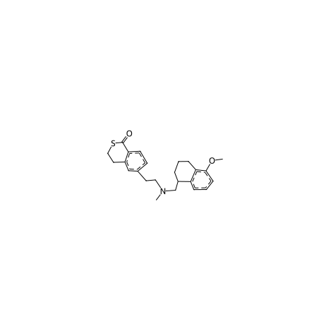 COc1cccc2c1CCCC2CN(C)CCc1ccc2c(c1)CCSC2=O